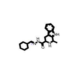 CC1NC(C(=O)N/N=C/C2CCCCC2)Cc2c1[nH]c1ccccc21